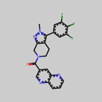 Cn1nc2c(c1-c1cc(F)c(F)c(F)c1)CCN(C(=O)c1cnc3cccnc3c1)C2